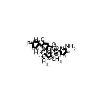 Cc1cc(C(=O)NS(=O)(=O)c2cccc(N)n2)c(N2CC(C)CC2(C)C)nc1-c1ccc(F)cc1